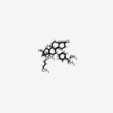 CCCCOC12C[C@@H]1C[C@H]1[C@@H]3CCC4=CC(=O)CCC4=C3[C@@H](c3ccc(N(C)C)cc3)C[C@@]12C